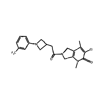 Cc1c2c(n(C)c(=O)c1Cl)CN(C(=O)CC1CN(c3cccc(C(F)(F)F)c3)C1)C2